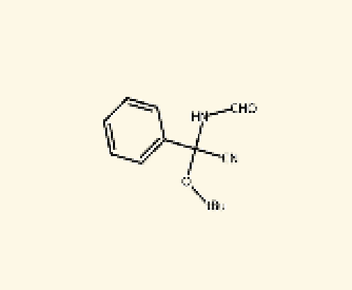 CC(C)(C)OC(C#N)(NC=O)c1ccccc1